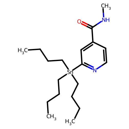 CCC[CH2][Sn]([CH2]CCC)([CH2]CCC)[c]1cc(C(=O)NC)ccn1